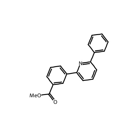 COC(=O)c1cccc(-c2cccc(-c3ccccc3)n2)c1